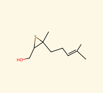 CC(C)=CCCC1(C)SC1CO